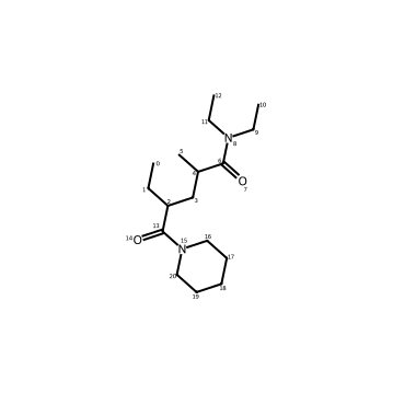 CCC(CC(C)C(=O)N(CC)CC)C(=O)N1CCCCC1